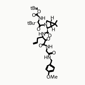 C=CCC(NC(=O)[C@@H]1[C@@H]2[C@H](CN1C(=O)[C@@H](NC(=O)OC(C)(C)C)C(C)(C)C)C2(C)C)C(=O)C(=O)NCC(=O)NCc1ccc(OC)cc1